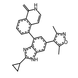 C=C1NC=Cc2c1cccc2-c1cc(-c2c(C)noc2C)cc2[nH]c(C3CC3)nc12